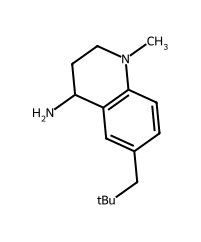 CN1CCC(N)c2cc(CC(C)(C)C)ccc21